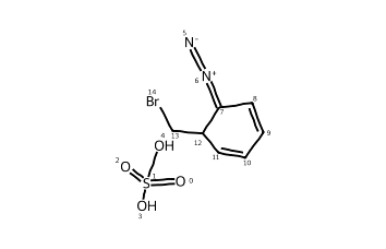 O=S(=O)(O)O.[N-]=[N+]=C1C=CC=CC1CBr